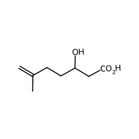 C=C(C)CCC(O)CC(=O)O